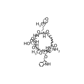 C[C@@H]1NC(=O)[C@H](CC(=O)O)NC(=O)CNC(=O)[C@H](CCCC[N+]2(C)CCOCC2)NC(=O)CCSSC[C@@H](C(N)=O)NC(=O)[C@@H]2CC(OCc3c[nH]c4ccccc34)CN2C1=O